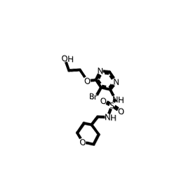 O=S(=O)(NCC1CCOCC1)Nc1ncnc(OCCO)c1Br